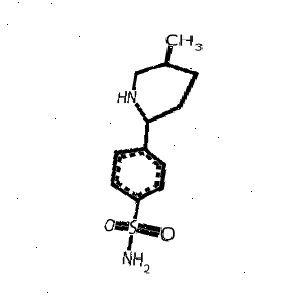 CC1CCC(c2ccc(S(N)(=O)=O)cc2)NC1